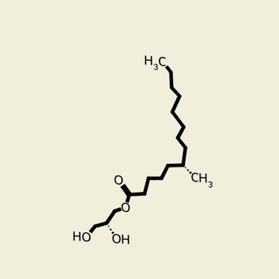 CCCCCCCC[C@H](C)CCCCC(=O)OC[C@H](O)CO